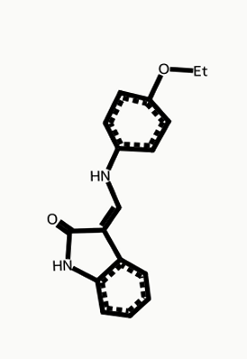 CCOc1ccc(NC=C2C(=O)Nc3ccccc32)cc1